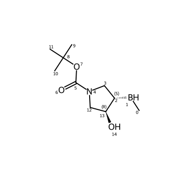 CB[C@H]1CN(C(=O)OC(C)(C)C)C[C@@H]1O